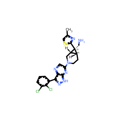 Cc1csc([C@@]2(CN)[C@@H]3CCN(c4cnc5c(-c6cccc(Cl)c6Cl)n[nH]c5n4)C[C@@H]32)n1